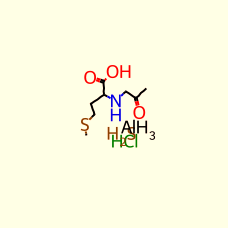 CSCCC(NCC(C)=O)C(=O)O.Cl.S.[AlH3]